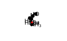 CC(C)(C)C1(C)NC=CC=C1NC(=O)Nc1ccc(-c2ccc(CN3CCOCC3)nc2)c2ccccc12